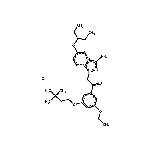 CCOc1cc(OCCC(C)(C)C)cc(C(=O)C[n+]2nc(N)n3nc(OC(CC)CC)ccc32)c1.[Cl-]